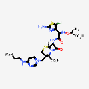 CNCCNc1cc[n+](CC2=C(C(=O)O)N3C(=O)[C@@H](NC(=O)/C(=N\O[C@@H](C)C(=O)O)c4nc(N)sc4Cl)[C@H]3SC2)cn1